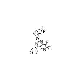 Fc1c(Cl)ncc2c(N3CCCOCC3)nc(OCC34CCCN3CC(F)(F)C4)nc12